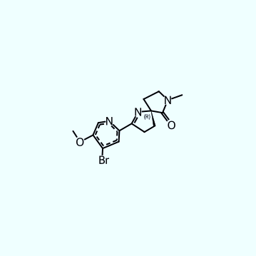 COc1cnc(C2=N[C@]3(CC2)CCN(C)C3=O)cc1Br